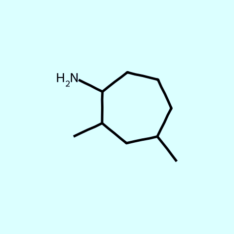 CC1CCCC(N)C(C)C1